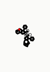 O=c1c2c(-c3ccccc3)c3c(cc2n2c4cc5c(c(-c6ccccc6)c4c(=O)n12)C1CC2CC4CC5CC42C1)C1CC2CC(C1)CC3C2